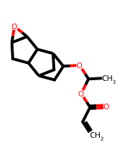 C=CC(=O)OC(C)OC1CC2CC1C1C2CC2OC21